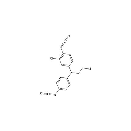 O=C=Nc1ccc(C(CCCl)c2ccc(N=C=O)c(Cl)c2)cc1